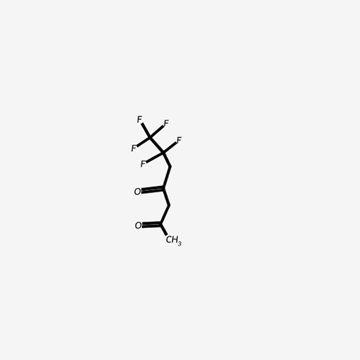 CC(=O)CC(=O)CC(F)(F)C(F)(F)F